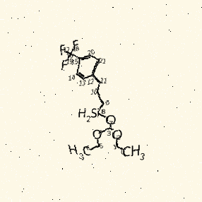 CCOC(OCC)O[SiH2]CCCc1ccc(C(F)(F)F)cc1